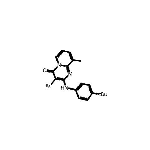 CC(=O)c1c(Nc2ccc(C(C)(C)C)cc2)nc2c(C)cccn2c1=O